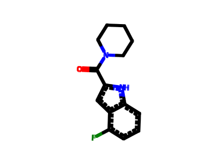 O=C(c1cc2c(F)cccc2[nH]1)N1CCCCC1